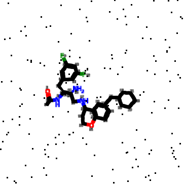 CC(=O)N[C@@H](Cc1cc(F)cc(F)c1)[C@H](N)CNC1CCOc2ccc(CC3CCCCC3)cc21